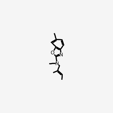 C/C=C(\C)CN(C)c1nc2ccc(C)cc2o1